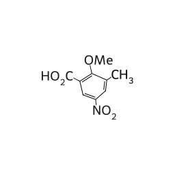 COc1c(C)cc([N+](=O)[O-])cc1C(=O)O